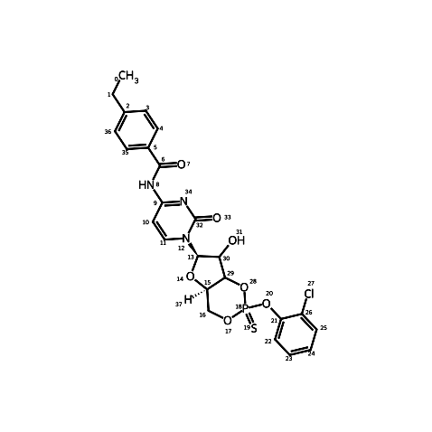 CCc1ccc(C(=O)Nc2ccn([C@@H]3O[C@@H]4COP(=S)(Oc5ccccc5Cl)OC4C3O)c(=O)n2)cc1